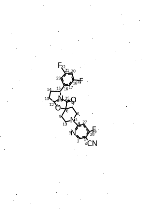 N#Cc1cnc(N2CCC3(CC2)OC2CCC(c4cc(F)cc(F)c4)N2C3=O)cc1F